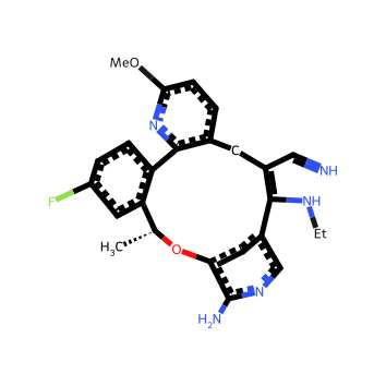 CCN/C1=C(\C=N)Cc2ccc(OC)nc2-c2ccc(F)cc2[C@@H](C)Oc2cc1cnc2N